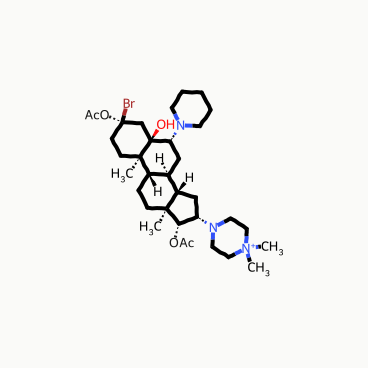 CC(=O)O[C@H]1[C@@H](N2CC[N+](C)(C)CC2)C[C@H]2[C@@H]3C[C@@H](N4CCCCC4)[C@@]4(O)C[C@@](Br)(OC(C)=O)CC[C@]4(C)[C@H]3CC[C@@]21C